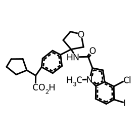 Cn1c(C(=O)NC2(c3ccc(C(C(=O)O)C4CCCC4)cc3)CCOC2)cc2c(Cl)c(I)ccc21